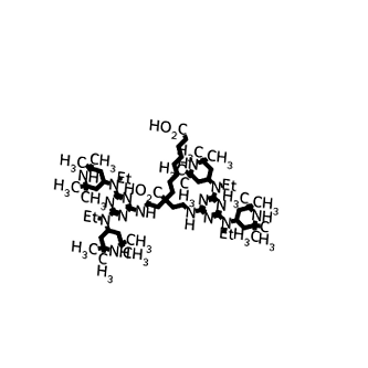 CCN(c1nc(NCCC(CCCCCCCC(=O)O)(CCNc2nc(N(CC)C3CC(C)(C)NC(C)(C)C3)nc(N(CC)C3CC(C)(C)NC(C)(C)C3)n2)C(=O)O)nc(N(CC)C2CC(C)(C)NC(C)(C)C2)n1)C1CC(C)(C)NC(C)(C)C1